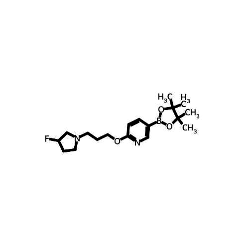 CC1(C)OB(c2ccc(OCCCN3CCC(F)C3)nc2)OC1(C)C